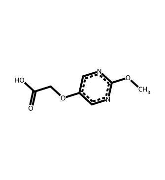 COc1ncc(OCC(=O)O)cn1